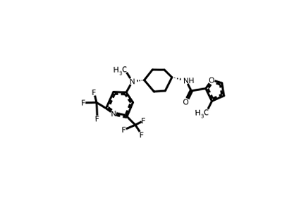 Cc1ccoc1C(=O)N[C@H]1CC[C@@H](N(C)c2cc(C(F)(F)F)nc(C(F)(F)F)c2)CC1